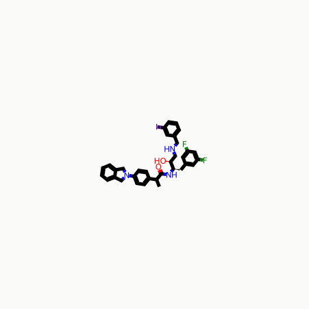 CC(C(=O)N[C@@H](Cc1cc(F)cc(F)c1)[C@H](O)CNCc1cccc(I)c1)c1ccc(N2Cc3ccccc3C2)cc1